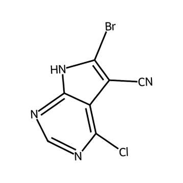 N#Cc1c(Br)[nH]c2ncnc(Cl)c12